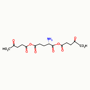 N[C@@H](CCC(=O)OC(=O)CCC(=O)C(=O)O)C(=O)OC(=O)CCC(=O)C(=O)O